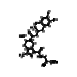 COC(=O)CNC(=O)c1nc(C(F)(F)F)n2c1CN(C(=O)CC(N)Cc1cc(F)c(F)cc1F)CC2.Cl